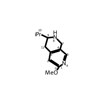 COc1cc2c(cn1)CNC(C(C)C)C2